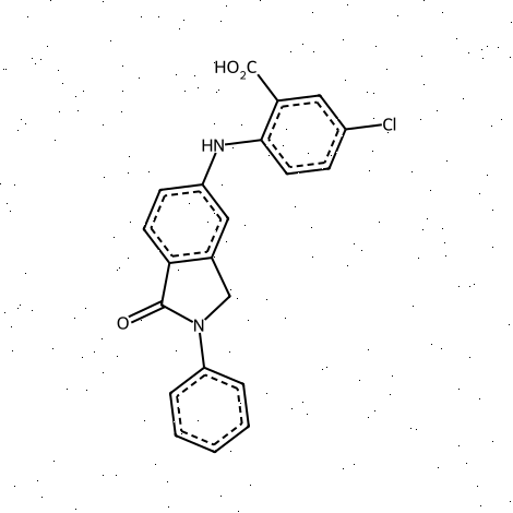 O=C(O)c1cc(Cl)ccc1Nc1ccc2c(c1)CN(c1ccccc1)C2=O